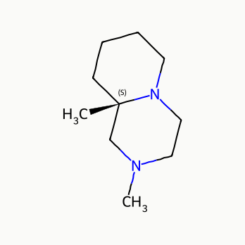 CN1CCN2CCCC[C@@]2(C)C1